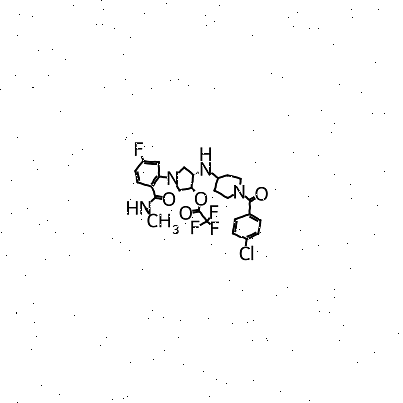 CNC(=O)c1ccc(F)cc1N1C[C@H](NC2CCN(C(=O)c3ccc(Cl)cc3)CC2)[C@@H](OC(=O)C(F)(F)F)C1